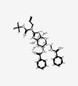 C=CCN(C(=O)OC(C)(C)C)C1=N[C@@H]2[C@@H](F)[C@H](OC(=O)c3ccccc3)[C@@H](COC(=O)c3ccccc3)O[C@@H]2S1